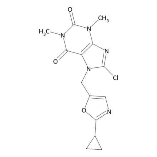 Cn1c(=O)c2c(nc(Cl)n2Cc2cnc(C3CC3)o2)n(C)c1=O